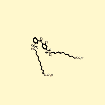 O=C(O)CCCCCCCCCCNS(=O)(=O)c1cccc(C(=O)c2ccc(S(=O)(=O)NCCCCCCCCCCC(=O)O)cc2Cl)c1